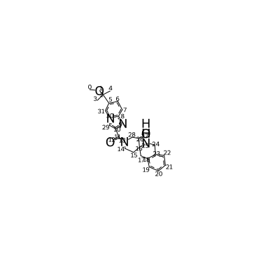 COC(C)(C)c1ccc2nc(C(=O)N3CCC4(Cc5ccccc5CN4)C(O)C3)cn2c1